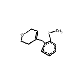 COc1ccccc1C1=CC[N]CC1